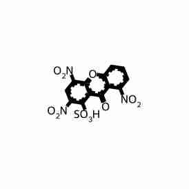 O=c1c2c([N+](=O)[O-])cccc2oc2c([N+](=O)[O-])cc([N+](=O)[O-])c(S(=O)(=O)O)c12